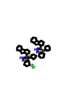 CCCCCC[NH][Hf+]([c]1cccc2c1Cc1ccccc1-2)[SiH](c1ccccc1)c1ccccc1.CCCCCC[NH][Hf+]([c]1cccc2c1Cc1ccccc1-2)[SiH](c1ccccc1)c1ccccc1.[Cl-].[Cl-]